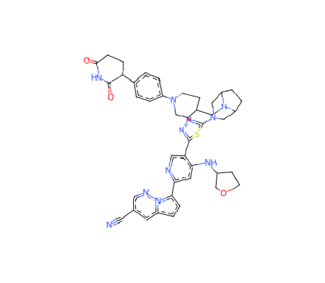 N#Cc1cnn2c(-c3cc(NC4CCOC4)c(-c4nnc(N5CC6CCC(C5)N6CC5CCN(c6ccc(C7CCC(=O)NC7=O)cc6)CC5)s4)cn3)ccc2c1